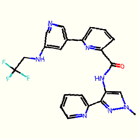 Cn1cc(NC(=O)c2cccc(-c3cncc(NCC(F)(F)F)c3)n2)c(-c2ccccn2)n1